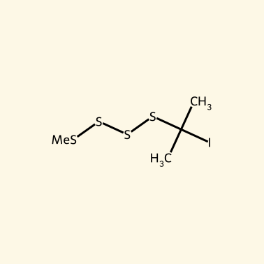 CSSSSC(C)(C)I